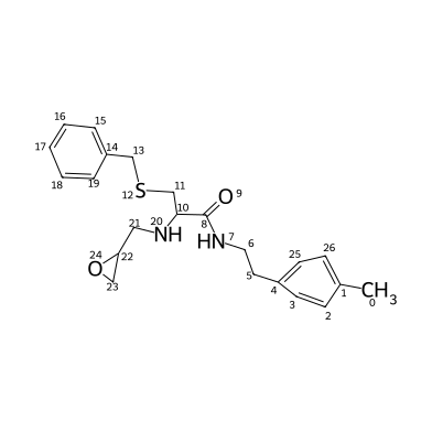 Cc1ccc(CCNC(=O)C(CSCc2ccccc2)NCC2CO2)cc1